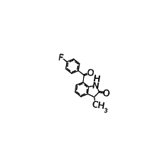 CC1C(=O)Nc2c(C(=O)c3ccc(F)cc3)cccc21